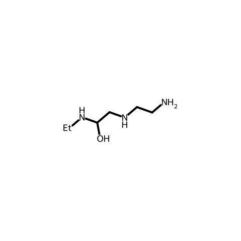 CCNC(O)CNCCN